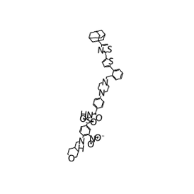 O=C(NS(=O)(=O)c1ccc(NCC2CCOCC2)c([N+](=O)[O-])c1)c1ccc(N2CCN(Cc3ccccc3-c3ccc(-c4nc(C56CC7CC(CC(C7)C5)C6)cs4)s3)CC2)cc1